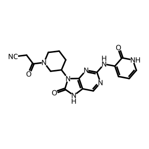 N#CCC(=O)N1CCCC(n2c(=O)[nH]c3cnc(Nc4ccc[nH]c4=O)nc32)C1